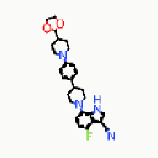 N#Cc1c[nH]c2c(N3CCC(c4ccc(N5CCC(C6OCCO6)CC5)cc4)CC3)ccc(F)c12